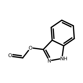 O=COc1n[nH]c2ccccc12